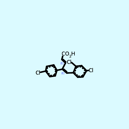 O=C(O)/C=C/C(=C\c1ccc(Cl)cc1Cl)c1ccc(Cl)cc1